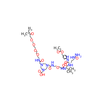 CCC(=O)OCc1ccc(NC(=O)[C@H](CCCNC(N)=O)NC(=O)[C@@H](NC(=O)CCOCCNC(=O)CN2CCN(CC(=O)O)CCN(CC(=O)NCCOCCOCCOCCOCCC(=O)C(C)C)CC2)C(C)C)cc1